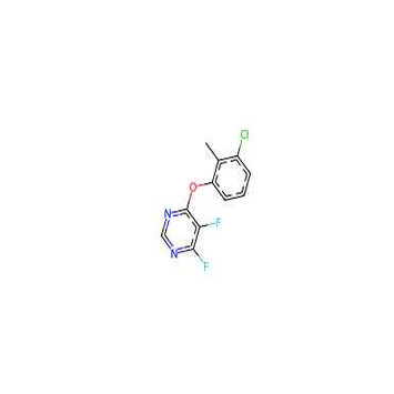 Cc1c(Cl)cccc1Oc1ncnc(F)c1F